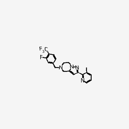 Cc1cccnc1-c1cc2n(n1)CCN(Cc1ccc(C(F)(F)F)c(F)c1)C2